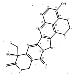 CC[C@@]1(O)C(=O)OCc2c1cc1n(c2=O)Cc2c-1nc1ccc(O)c3c1c2CCC3